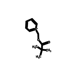 CC(C)(C)C(=O)OC[n+]1ccccc1